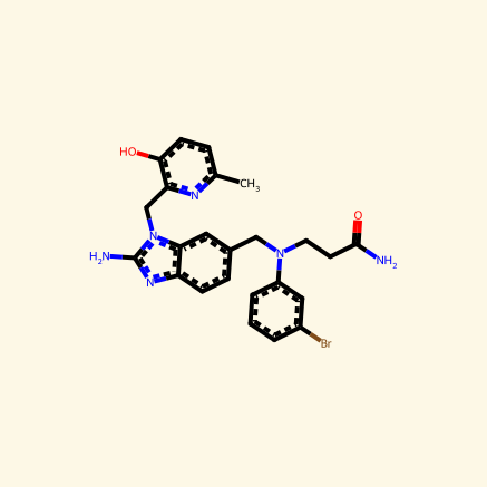 Cc1ccc(O)c(Cn2c(N)nc3ccc(CN(CCC(N)=O)c4cccc(Br)c4)cc32)n1